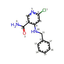 NC(=O)c1cnc(Cl)cc1NCc1ccccc1